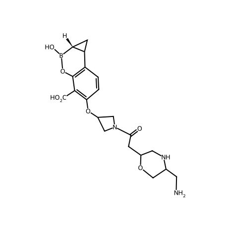 NCC1COC(CC(=O)N2CC(Oc3ccc4c(c3C(=O)O)OB(O)[C@@H]3CC43)C2)CN1